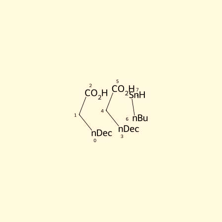 CCCCCCCCCCCC(=O)O.CCCCCCCCCCCC(=O)O.CCC[CH2][SnH]